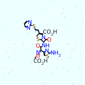 Nc1nc(/C(=N\OCC(=O)O)C(=O)NC2C(=O)N3C(C(=O)O)=C(/C=C/Sc4ncccn4)CSC23)cs1